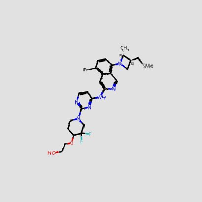 CSC[C@H]1CN(c2ccc(C(C)C)c3cc(Nc4ccnc(N5CCC(OCCO)C(F)(F)C5)n4)ncc23)[C@@H]1C